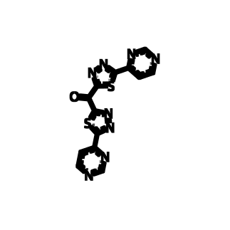 O=C(c1nnc(-c2ccncn2)s1)c1nnc(-c2ccncn2)s1